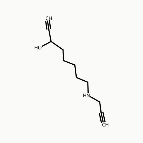 C#CCNCCCCCC(O)C#C